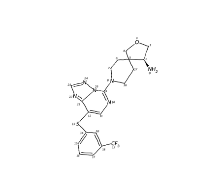 N[C@@H]1COCC12CCN(c1ncc(Sc3cccc(C(F)(F)F)c3)c3ncnn13)CC2